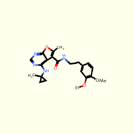 CCOc1cc(CCNC(=O)c2c(C)oc3ncnc(NC4(C)CC4)c23)ccc1OC